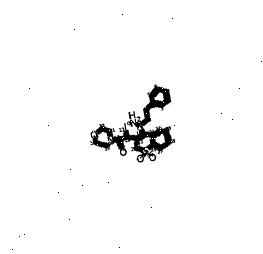 NN(CCc1ccccc1)C1=C(C(I)C(=O)N2CCOCC2)CS(=O)(=O)c2ccccc21